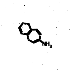 NC1=CCC2=C(C=C1)CCC=C2